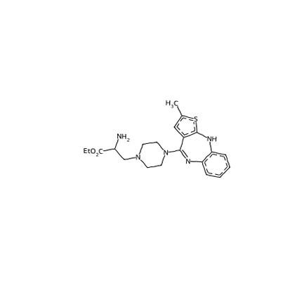 CCOC(=O)C(N)CN1CCN(C2=Nc3ccccc3Nc3sc(C)cc32)CC1